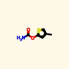 Cc1csc(OC(N)=O)c1